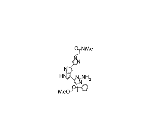 CNC(=O)CCn1cc(-c2cnc3[nH]cc(-c4cc(C(C)(OCOC)c5ccccc5)nc(N)n4)c3c2)cn1